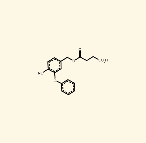 N#Cc1ccc(COC(=O)CCC(=O)O)cc1Oc1ccccc1